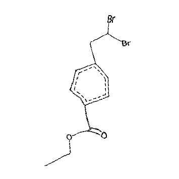 CCOC(=O)c1ccc(CC(Br)Br)cc1